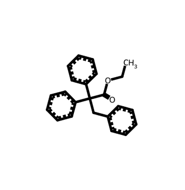 CCOC(=O)C(Cc1ccccc1)(c1ccccc1)c1ccccc1